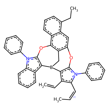 C=Cc1c2c(n(-c3ccccc3)c1/C=C\C)Oc1cc3c(CC)cccc3c3c1CB2c1c(n(-c2ccccc2)c2ccccc12)O3